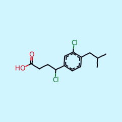 CC(C)Cc1ccc(C(Cl)CCC(=O)O)cc1Cl